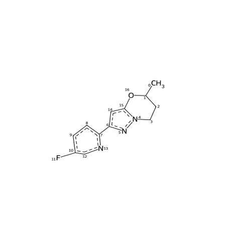 CC1CCn2nc(-c3ccc(F)cn3)cc2O1